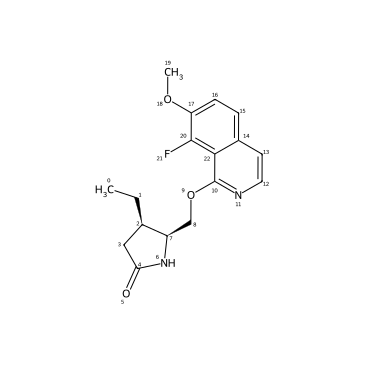 CC[C@@H]1CC(=O)N[C@@H]1COc1nccc2ccc(OC)c(F)c12